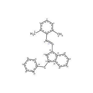 Cc1cccc(C)c1/N=C/c1nn(Cc2ccccn2)c2ccccc12